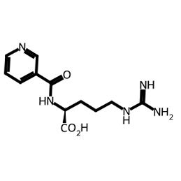 N=C(N)NCCC[C@H](NC(=O)c1cccnc1)C(=O)O